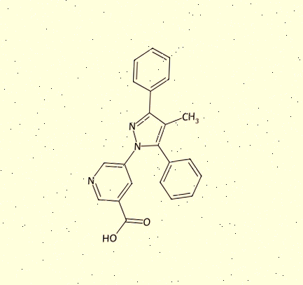 Cc1c(-c2ccccc2)nn(-c2cncc(C(=O)O)c2)c1-c1ccccc1